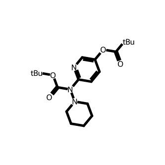 CC(C)(C)OC(=O)N(c1ccc(OC(=O)C(C)(C)C)cn1)N1CCCCC1